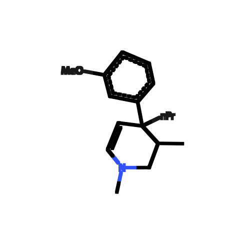 CCCC1(c2cccc(OC)c2)C=CN(C)CC1C